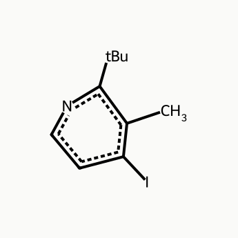 Cc1c(I)ccnc1C(C)(C)C